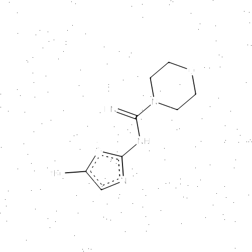 CC(C)(C)c1cnc(NC(=N)N2CCOCC2)o1